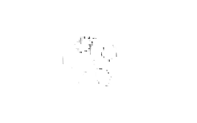 Cc1cccc[c]1[Ti]([I])([c]1ccccc1C)[c]1ccccc1C